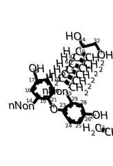 C=C.C=C.C=C.C=C.C=C.C=C.C=C.CCCCCCCCCc1cc(O)ccc1Oc1ccc(O)cc1CCCCCCCCC.OCCO